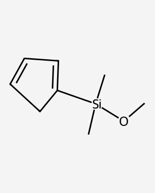 CO[Si](C)(C)C1=CC=CC1